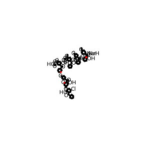 COc1cc(O)c(C(=O)c2ccccc2)cc1S(=O)(=O)O.COc1cc(O)c(C(=O)c2ccccc2)cc1S(=O)(=O)[O-].COc1ccc(C(=O)c2ccc(OC)cc2O)c(O)c1.COc1ccc(C(=O)c2ccccc2)c(O)c1.COc1ccc(C(=O)c2ccccc2O)c(O)c1.O=C(c1ccccc1)c1cc(Cl)ccc1O.[Na+].[NaH]